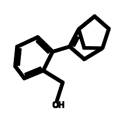 OCc1ccccc1C1=C2CCC(C2)C1